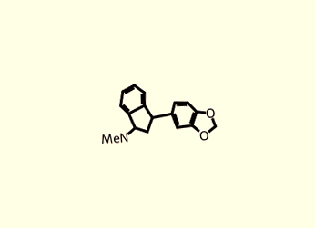 CNC1CC(c2ccc3c(c2)OCO3)c2ccccc21